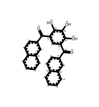 O=C(c1ccc2ccccc2c1)c1cc(C(=O)c2ccc3ccccc3c2)c(O)c(O)c1O